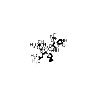 CC(C)C[C@@H](NC(=O)OC(C)(C)C)C(=O)N1CC2(CC2)C[C@H]1C(=O)N[C@@H](C[C@@H]1CCNC1=O)C(=O)COC(F)(F)F